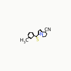 Cc1cccc(C(=S)c2ccc3n2CCCC3C#N)c1